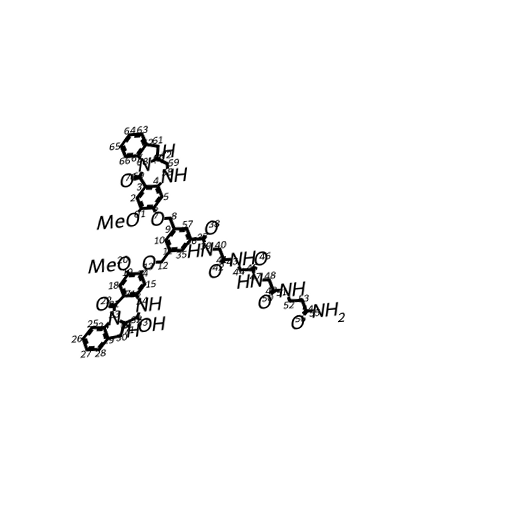 COc1cc2c(cc1OCc1cc(COc3cc4c(cc3OC)C(=O)N3c5ccccc5C[C@H]3C(O)N4)cc(C(=O)NCC(=O)NCC(=O)NCC(=O)NCCC(N)=O)c1)NC[C@@H]1Cc3ccccc3N1C2=O